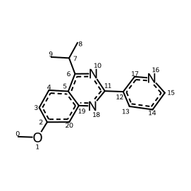 COc1ccc2c(C(C)C)nc(-c3cccnc3)nc2c1